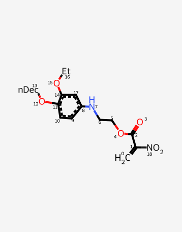 C=C(C(=O)OCCNc1ccc(OCCCCCCCCCC)c(OCC)c1)[N+](=O)[O-]